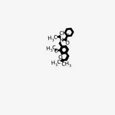 COc1c(CN(C(=O)C2CCCCC2)C(C)C)ccc2c1OC(C)(C)C=C2